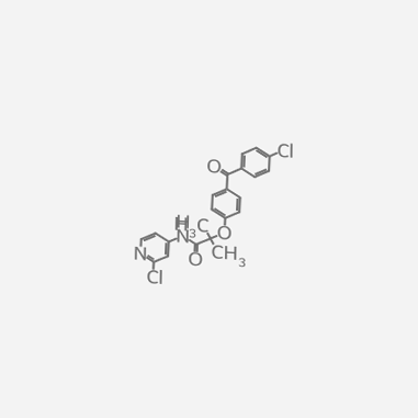 CC(C)(Oc1ccc(C(=O)c2ccc(Cl)cc2)cc1)C(=O)Nc1ccnc(Cl)c1